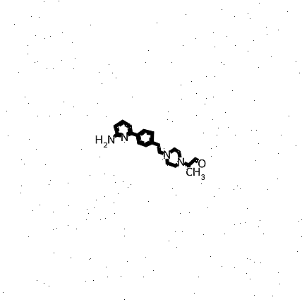 CC(C=O)N1CCN(CCc2ccc(-c3cccc(N)n3)cc2)CC1